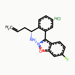 C=CC[C@@H](N)c1ccccc1-c1noc2cc(F)ccc12.Cl